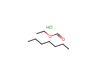 CCCCCCC.CCOC=O.Cl